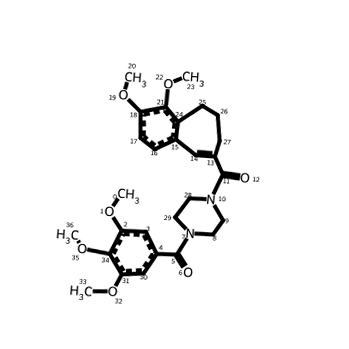 COc1cc(C(=O)N2CCN(C(=O)C3=Cc4ccc(OC)c(OC)c4CCC3)CC2)cc(OC)c1OC